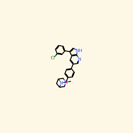 CN1CC2CC(C1)N2Cc1ccc(-c2cnc3[nH]cc(-c4cccc(Cl)c4)c3c2)cc1